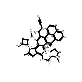 Cc1cc2c(O[C@@H](C)[C@@H]3CCCN3C)nc3c(F)c(-c4cccc5cccc(C#N)c45)c(CCC#N)cc3c2n1[C@H]1[C@@H](CN)C[C@@H]1C